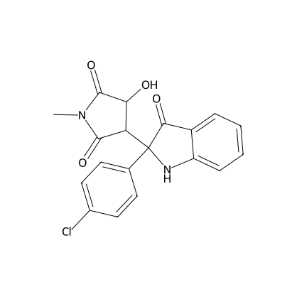 CN1C(=O)C(O)C(C2(c3ccc(Cl)cc3)Nc3ccccc3C2=O)C1=O